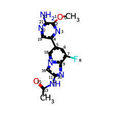 COc1nc(-c2cc(F)c3nc(NC(C)=O)cn3c2)cnc1N